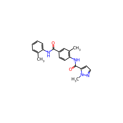 Cc1ccccc1NC(=O)c1ccc(NC(=O)c2ccnn2C)c(C)c1